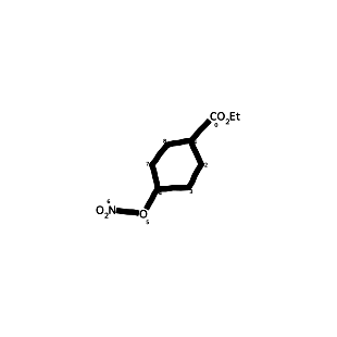 CCOC(=O)C1CCC(O[N+](=O)[O-])CC1